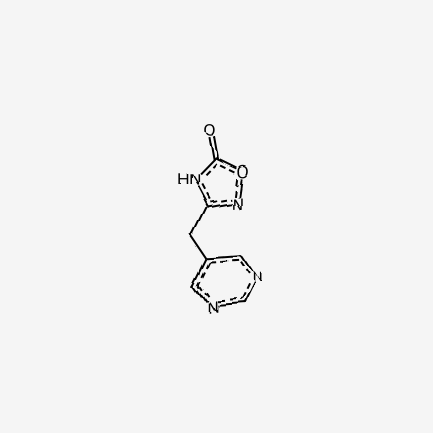 O=c1[nH]c(Cc2cncnc2)no1